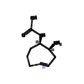 N[C@H]1C/C=C/CCC[C@H]1NC(=O)O